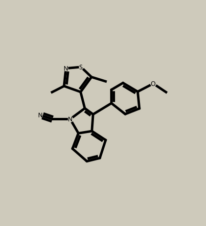 COc1ccc(-c2c(-c3c(C)nsc3C)n(C#N)c3ccccc23)cc1